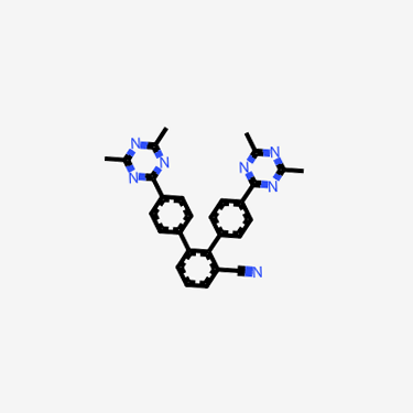 Cc1nc(C)nc(-c2ccc(-c3cccc(C#N)c3-c3ccc(-c4nc(C)nc(C)n4)cc3)cc2)n1